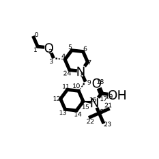 CCOC[C@@H]1CCCN(C[C@H]2CCCC[C@@H]2N(C(=O)O)C(C)(C)C)C1